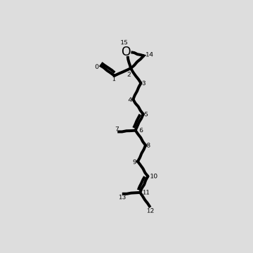 C=CC1(CC/C=C(\C)CCC=C(C)C)CO1